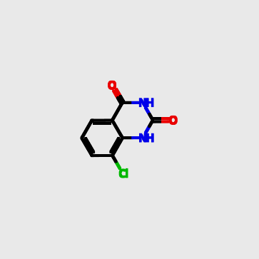 O=c1[nH]c(=O)c2cccc(Cl)c2[nH]1